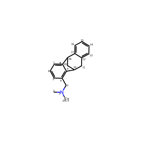 CCN(C)Cc1cccc2c1C1Cc3ccccc3C2C1